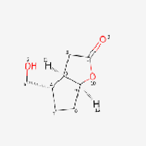 O=C1C[C@@H]2[C@@H](CO)CC[C@@H]2O1